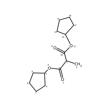 CC(C(=O)OC1CCCC1)C(=O)OC1CCCC1